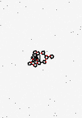 C[Si]1(C)c2nc(-c3cccc4ccccc34)nc(-c3cccc(-c4cccc(-c5cc(-c6ccccc6)cc(-c6ccccc6)c5)c4)c3)c2-c2c1c1ccccc1c1ccccc21